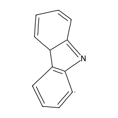 [c]1cccc2c1N=C1C=CC=CC12